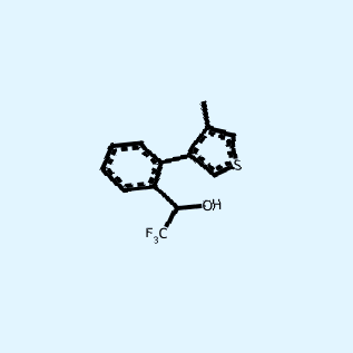 Cc1cscc1-c1ccccc1C(O)C(F)(F)F